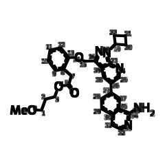 COCCCOC(=O)Cc1ccccc1OCc1nn(C2CCC2)c2ncc(-c3ccc4ccnc(N)c4c3)cc12